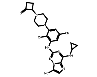 N#Cc1cc(Nc2nc(NC3CC3)c3ncc(C#N)n3n2)c(Cl)c(N2CCN(C3CCC3=O)CC2)c1